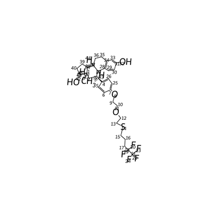 C[C@]12C[C@H](c3ccc(OCCOCCSCCCC(F)(F)C(F)(F)F)cc3)[C@@H]3c4ccc(O)cc4CC[C@H]3[C@@H]1CC[C@@H]2O